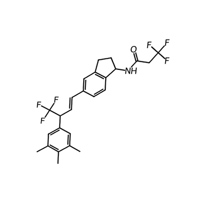 Cc1cc(C(/C=C/c2ccc3c(c2)CCC3NC(=O)CC(F)(F)F)C(F)(F)F)cc(C)c1C